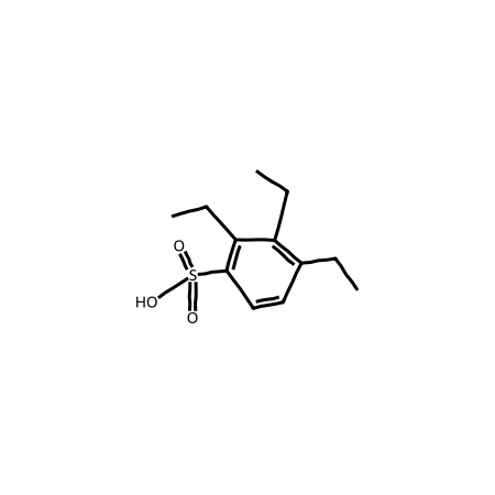 CCc1ccc(S(=O)(=O)O)c(CC)c1CC